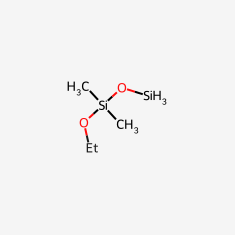 CCO[Si](C)(C)O[SiH3]